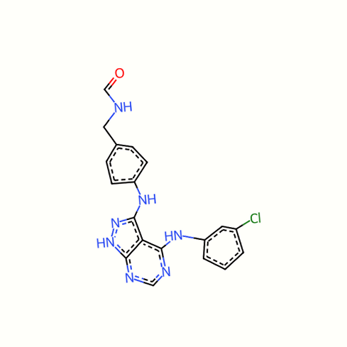 O=CNCc1ccc(Nc2n[nH]c3ncnc(Nc4cccc(Cl)c4)c23)cc1